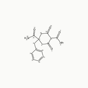 CCCC(=O)C1C(=O)CC(Cc2ccccc2)(C(N)=O)CC1=O